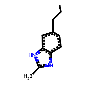 Bc1nc2ccc(CCC)cc2[nH]1